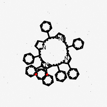 C1=Cc2nc1c(-c1ccccc1)c1ccc([nH]1)c(-c1ccccc1)c1nc(c(-c3ccccc3)c3c(-c4ccccc4)c(-c4ccccc4)c(c2-c2ccccc2)n3-c2ccccc2)C(c2ccccc2)=C1